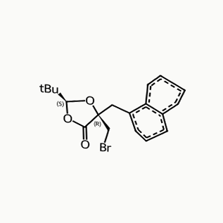 CC(C)(C)[C@@H]1OC(=O)[C@@](CBr)(Cc2cccc3ccccc23)O1